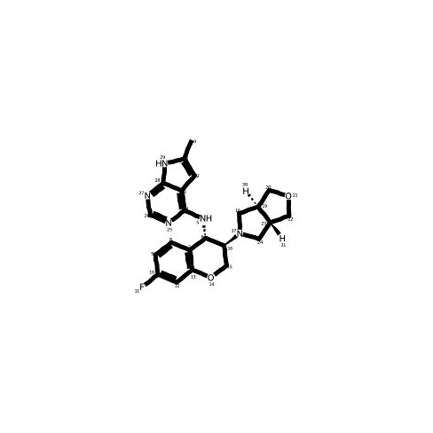 Cc1cc2c(N[C@H]3c4ccc(F)cc4OC[C@@H]3N3C[C@H]4COC[C@@H]4C3)ncnc2[nH]1